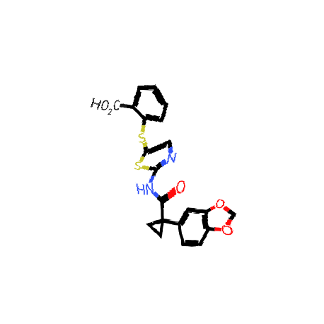 O=C(O)c1ccccc1Sc1cnc(NC(=O)C2(c3ccc4c(c3)OCO4)CC2)s1